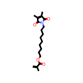 C=C(C)C(=O)OCCCCCCCCCN1C(=O)C(C)=C(C)C1=O